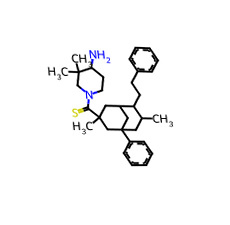 CC1CC2(c3ccccc3)CC(CC(C)(C(=S)N3CC[C@H](N)C(C)(C)C3)C2)C1CCc1ccccc1